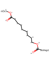 CCCCCCCCOC(=O)CCCCCCCCOC(=O)CCCCCCC